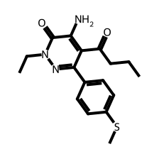 CCCC(=O)c1c(-c2ccc(SC)cc2)nn(CC)c(=O)c1N